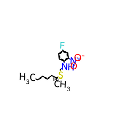 CCCCC[C@@H](C)SCNc1ccc(F)cc1[N+](=O)[O-]